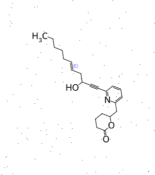 CCCCC/C=C/CC(O)C#Cc1cccc(CC2CCCC(=O)O2)n1